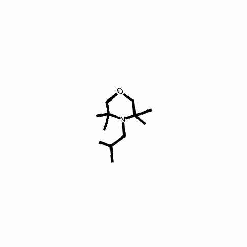 CC(C)CN1C(C)(C)COCC1(C)C